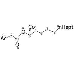 CCCCCCCCCCCCOC(=O)CC(C)=O.[Co]